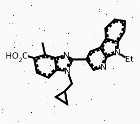 CCn1c2ccccc2c2cc(-c3nc4c(C)c(C(=O)O)ccc4n3CC3CC3)cnc21